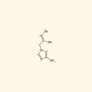 CC(C)(C)/C(Cn1cnc([N+](=O)[O-])c1)=N\O